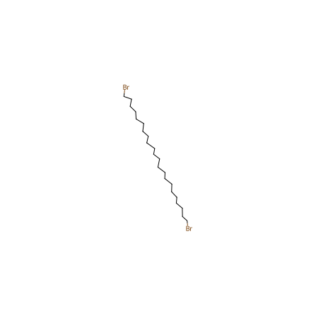 BrCCCCCCCCCCCCCCCCCCCCCCBr